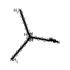 N#Cc1ccc(-n2cc(COCCOCCOCCOCCOCCC(=O)NC(CC(=O)NCCOCCOCCOCCOCCOCCOCCOCCN)CC(=O)NCCOCCOCCOCCOCCOCCOCCOCCN)nn2)cc1